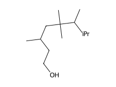 CC(CCO)CC(C)(C)C(C)C(C)C